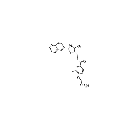 Cc1cc(C(=O)CCc2sc(-c3ccc4ccccc4c3)nc2C(C)C)ccc1OCC(=O)O